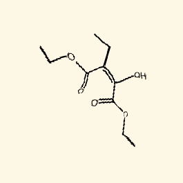 CCOC(=O)/C(O)=C(/CC)C(=O)OCC